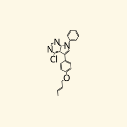 CC=CCOc1ccc(-c2cn(-c3ccccc3)c3ncnc(Cl)c23)cc1